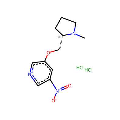 CN1CCC[C@H]1COc1cncc([N+](=O)[O-])c1.Cl.Cl